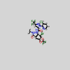 CC(C)NC(=O)c1cc2c(c(Br)c1NC(=O)c1cc(C(F)(F)F)nn1-c1ncccc1Cl)OC(F)(F)O2